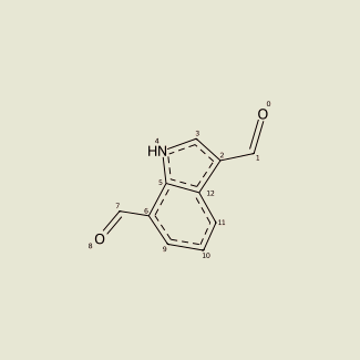 O=Cc1c[nH]c2c(C=O)cccc12